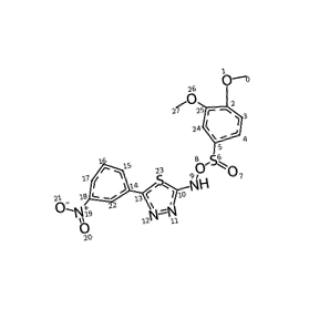 COc1ccc(S(=O)ONc2nnc(-c3cccc([N+](=O)[O-])c3)s2)cc1OC